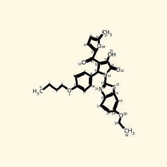 CCCCOc1ccc(C2C(C(=O)c3ccc(C)o3)=C(O)C(=O)N2c2nc3ccc(OCC)cc3s2)cc1